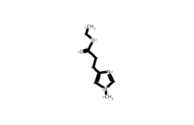 CCOC(=O)CCc1cn(C)cn1